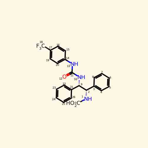 O=C(O)N[C@@H](c1ccccc1)[C@@H](NC(=O)Nc1ccc(C(F)(F)F)cc1)c1ccccc1